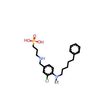 CCN(CCCCCc1ccccc1)c1ccc(CNCCCP(=O)(O)O)cc1Cl